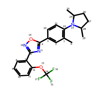 Cc1cc(-c2nc(-c3ccccc3OC(F)(F)F)no2)ccc1N1C(C)CCC1C